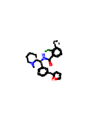 CN1CCCC[C@H]1[C@@H](NC(=O)c1cccc(C(F)(F)F)c1Cl)c1cccc(-c2ccco2)c1